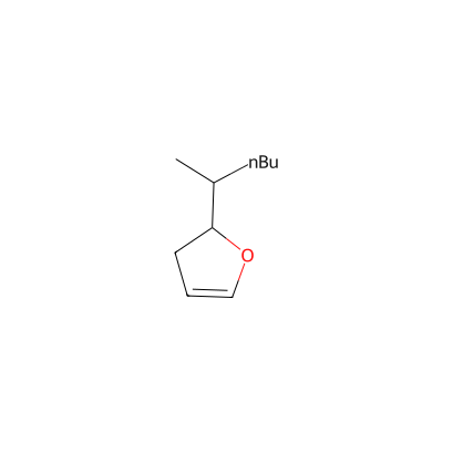 CCCCC(C)C1CC=CO1